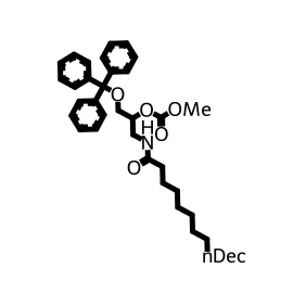 CCCCCCCCCCCCCCCCCC(=O)NCC(COC(c1ccccc1)(c1ccccc1)c1ccccc1)OC(=O)OC